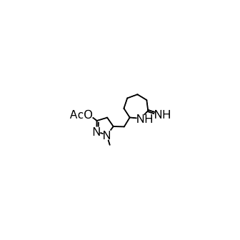 CC(=O)OC1=NN(C)C(CC2CCCCC(=N)N2)C1